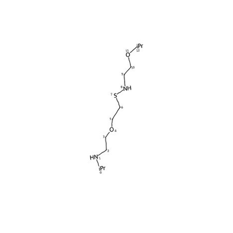 CC(C)NCCOCCSNCCOC(C)C